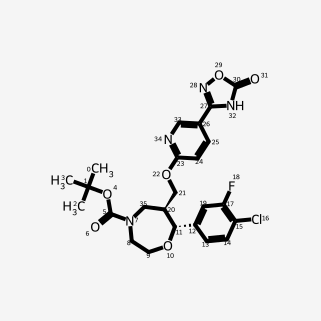 CC(C)(C)OC(=O)N1CCO[C@@H](c2ccc(Cl)c(F)c2)[C@H](COc2ccc(-c3noc(=O)[nH]3)cn2)C1